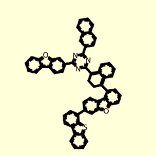 c1ccc2c(c1)=C(c1nc(-c3ccc4ccccc4c3)nc(-c3ccc4c(c3)oc3ccccc34)n1)CCC=2c1cccc2oc3cc(-c4cccc5c4sc4ccccc45)ccc3c12